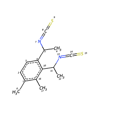 Cc1ccc(C(C)N=C=S)c(C(C)N=C=S)c1C